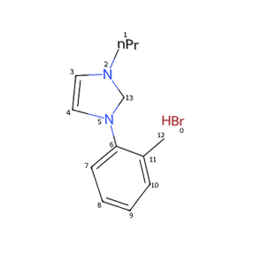 Br.CCCN1C=CN(c2ccccc2C)C1